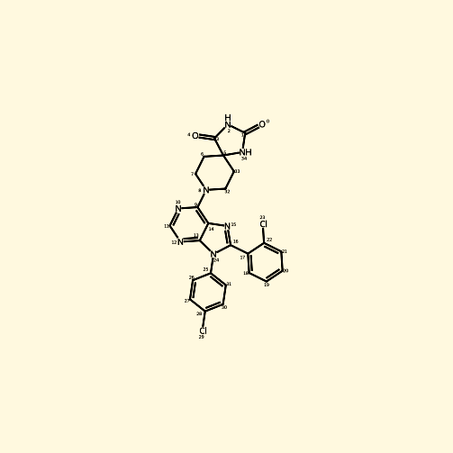 O=C1NC(=O)C2(CCN(c3ncnc4c3nc(-c3ccccc3Cl)n4-c3ccc(Cl)cc3)CC2)N1